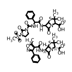 CC1(C)SC2C(NC(=O)C(NC(=O)N3CCN(S(C)(=O)=O)C3=O)c3ccccc3)C(=O)N2C1C(=O)O.Cc1onc(-c2ccccc2)c1C(=O)N[C@@H]1C(=O)N2[C@@H]1SC(C)(C)[C@@H]2C(=O)O